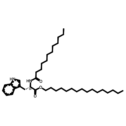 CCCCCCCCCCCCCCCCOC(=O)[C@H](Cc1c[nH]c2ccccc12)NC(=O)CCCCCCCCCCC